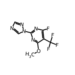 COc1nc(-n2cncn2)nc(F)c1C(F)(F)F